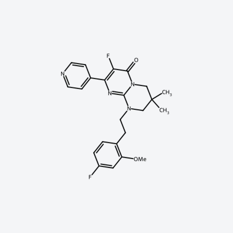 COc1cc(F)ccc1CCN1CC(C)(C)Cn2c1nc(-c1ccncc1)c(F)c2=O